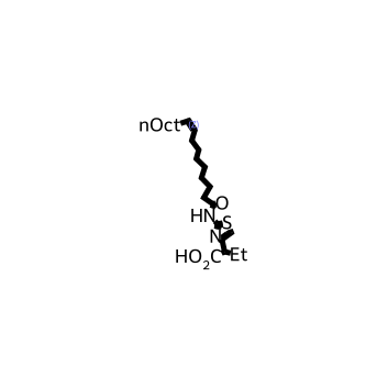 CCCCCCCC/C=C\CCCCCCCC(=O)Nc1nc(C(CC)C(=O)O)cs1